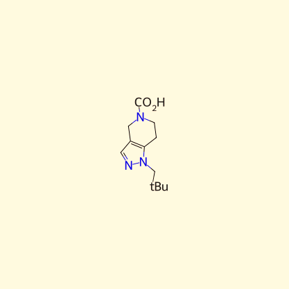 CC(C)(C)Cn1ncc2c1CCN(C(=O)O)C2